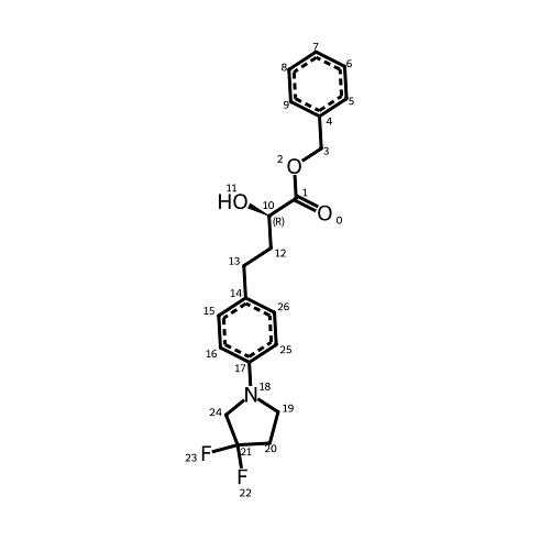 O=C(OCc1ccccc1)[C@H](O)CCc1ccc(N2CCC(F)(F)C2)cc1